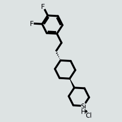 Fc1ccc(CC[C@H]2CC[C@H](C3CC[SiH](Cl)CC3)CC2)cc1F